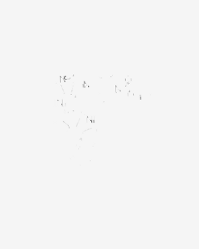 CC(C)(C)OC(=O)N1CCC(CNc2cncc(Nc3ccc4c(C5CCCCC5)c[nH]c4c3)c2)CC1